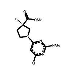 CC[C@@]1(C(=O)OC)CCN(c2cc(Cl)nc(NC)n2)C1